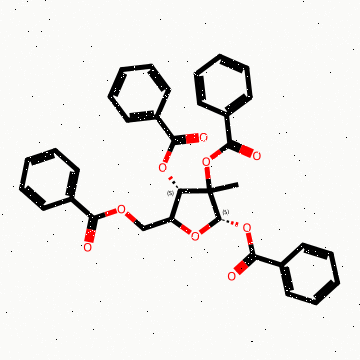 CC1(OC(=O)c2ccccc2)[C@H](OC(=O)c2ccccc2)OC(COC(=O)c2ccccc2)[C@@H]1OC(=O)c1ccccc1